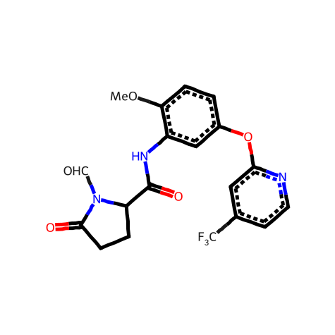 COc1ccc(Oc2cc(C(F)(F)F)ccn2)cc1NC(=O)C1CCC(=O)N1C=O